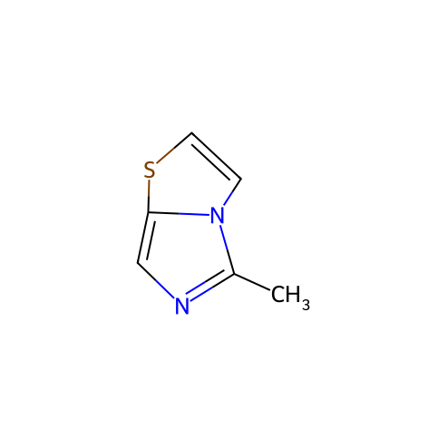 Cc1ncc2sccn12